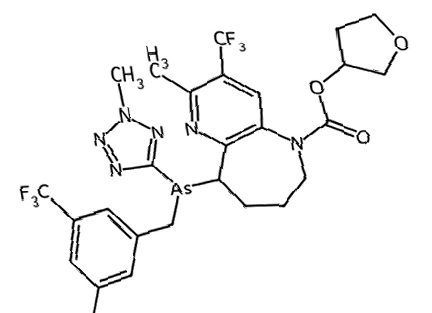 Cc1nc2c(cc1C(F)(F)F)N(C(=O)OC1CCOC1)CCCC2[As](Cc1cc(C(F)(F)F)cc(C(F)(F)F)c1)c1nnn(C)n1